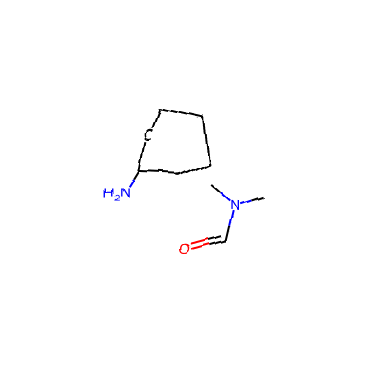 CN(C)C=O.NC1CCCCC1